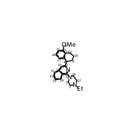 CCN1CCN(c2nc(C3CCCc4c(OC)cccc43)cc3ccccc23)CC1